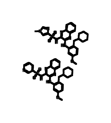 COc1ccc(CC2CCCCC2)c(Nc2nc3ccccc3nc2NS(=O)(=O)c2cccnc2)c1.COc1ccc(CC2CCCCC2)c(Nc2nc3ccccc3nc2NS(=O)(=O)c2cn(C)cn2)c1